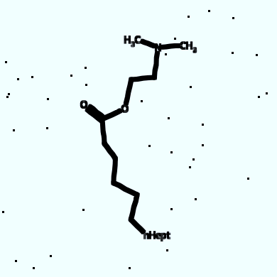 CCCCCCCCCCCCC(=O)OCCN(C)C